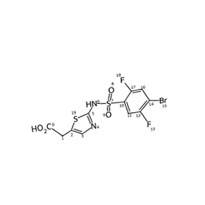 O=C(O)Cc1cnc(NS(=O)(=O)c2cc(F)c(Br)cc2F)s1